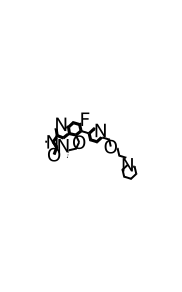 C[C@H]1COc2c(-c3ccc(COCCCN4CCCCC4)nc3)c(F)cc3ncc4c(c23)n1c(=O)n4C